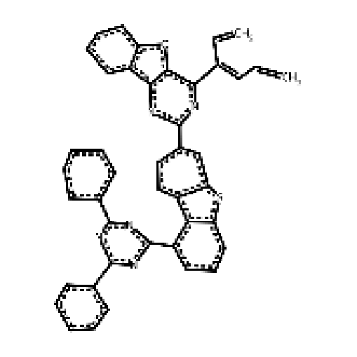 C=C/C=C(\C=C)c1nc(-c2ccc3c(c2)sc2cccc(-c4nc(-c5ccccc5)nc(-c5ccccc5)n4)c23)nc2c1oc1ccccc12